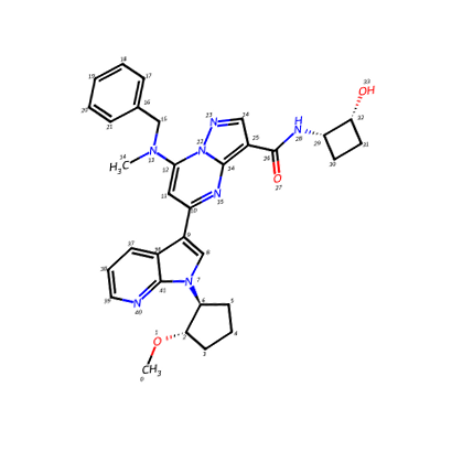 CO[C@H]1CCC[C@@H]1n1cc(-c2cc(N(C)Cc3ccccc3)n3ncc(C(=O)N[C@H]4CC[C@H]4O)c3n2)c2cccnc21